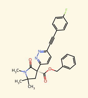 CN1C(=O)[C@@](C(=O)OCc2ccccc2)(c2ccc(C#Cc3ccc(F)cc3)nn2)CC1(C)C